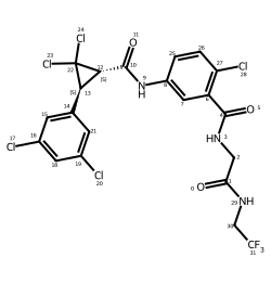 O=C(CNC(=O)c1cc(NC(=O)[C@@H]2[C@@H](c3cc(Cl)cc(Cl)c3)C2(Cl)Cl)ccc1Cl)NCC(F)(F)F